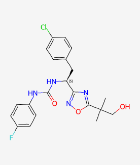 CC(C)(CO)c1nc([C@H](Cc2ccc(Cl)cc2)NC(=O)Nc2ccc(F)cc2)no1